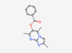 Cc1cn2c(C)c(OC(=O)c3ccccc3)c(C)nc2n1